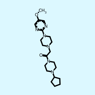 COc1cnc(N2CCN(CC(=O)N3CCN(C4CCCC4)CC3)CC2)nc1